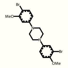 COc1ccc(N2CCN(c3ccc(Br)c(OC)c3)CC2)cc1Br